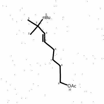 CCCCC(C)(C)/C=C/CCCCOC(C)=O